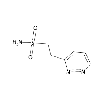 NS(=O)(=O)CCc1cccnn1